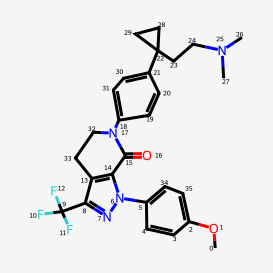 COc1ccc(-n2nc(C(F)(F)F)c3c2C(=O)N(c2ccc(C4(CCN(C)C)CC4)cc2)CC3)cc1